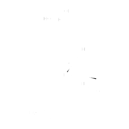 C[C@]12CC[C@@H]3c4ccc(B(O)O)cc4CC[C@H]3[C@@H]1[C@@H](CCCC(=O)O)CC2=O